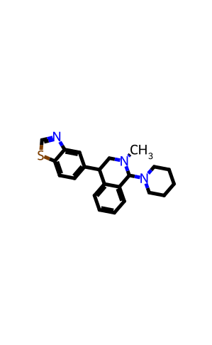 CN1CC(c2ccc3scnc3c2)c2ccccc2C1N1CCCCC1